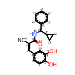 N#CC(=Cc1ccc(O)c(O)c1)C(=O)NC(c1ccccc1)C1CC1